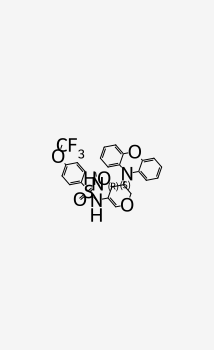 CN=S(=O)(NC1=COC[C@H](N2c3ccccc3Oc3ccccc32)[C@H]1O)c1ccc(OC(F)(F)F)cc1